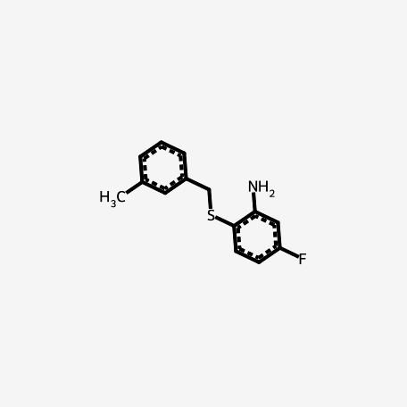 Cc1cccc(CSc2ccc(F)cc2N)c1